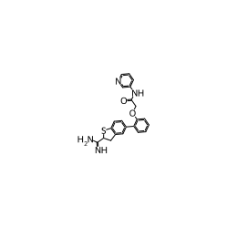 N=C(N)C1Cc2cc(-c3ccccc3OCC(=O)Nc3cccnc3)ccc2S1